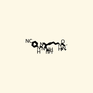 CCCNc1nc(Nc2ccc(C#N)cc2)ncc1C#CCCCNC(=O)[C@H](C)N(C)I